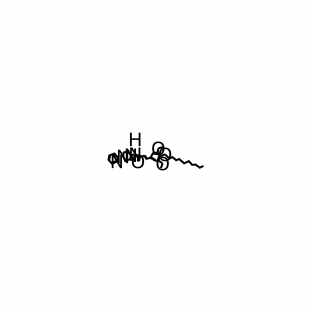 CCCCCCCCCCOc1c(OC)cc(C=CC(=O)NN2CCN(c3ccccn3)CC2)cc1OC